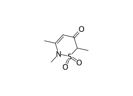 CC1=CC(=O)C(C)S(=O)(=O)N1C